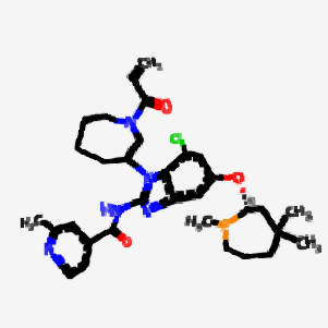 C=CC(=O)N1CCCCC(n2c(NC(=O)c3ccnc(C)c3)nc3cc(O[C@@H]4CC(C)(C)CCCP4C)cc(Cl)c32)C1